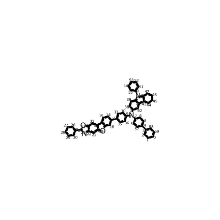 c1ccc(-c2ccc(N(c3ccc(-c4ccc5c(c4)oc4cc6nc(-c7ccccc7)oc6cc45)cc3)c3ccc4c(c3)c3ccccc3n4-c3ccccc3)cc2)cc1